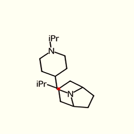 CC(C)C1CC2CCC(C1)N2CC1CCN(C(C)C)CC1